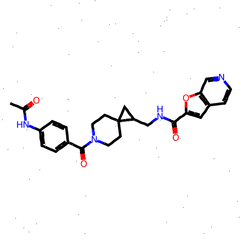 CC(=O)Nc1ccc(C(=O)N2CCC3(CC2)CC3CNC(=O)c2cc3ccncc3o2)cc1